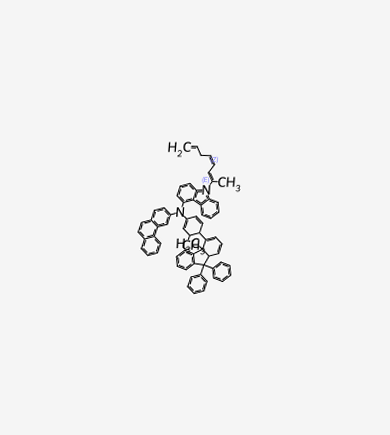 C=CC/C=C\C=C(/C)n1c2ccccc2c2c(N(C3=CC(C)C(C4=CC=CC5C4(C)c4ccccc4C5(c4ccccc4)c4ccccc4)C=C3)c3ccc4ccc5ccccc5c4c3)cccc21